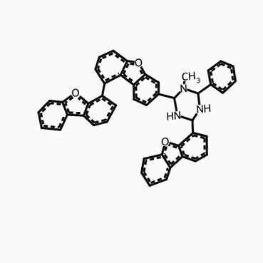 CN1C(c2ccccc2)NC(c2cccc3c2oc2ccccc23)NC1c1ccc2c(c1)oc1cccc(-c3cccc4c3oc3ccccc34)c12